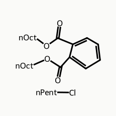 CCCCCCCCOC(=O)c1ccccc1C(=O)OCCCCCCCC.CCCCCCl